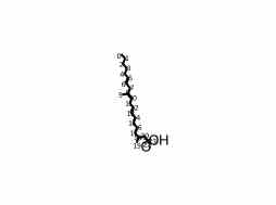 CCCCC/C=C/C/C(C)=C/C/C=C/CCCCC(C)CC(=O)O